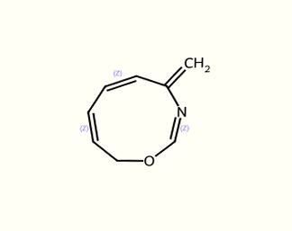 C=C1/C=C\C=C/CO/C=N\1